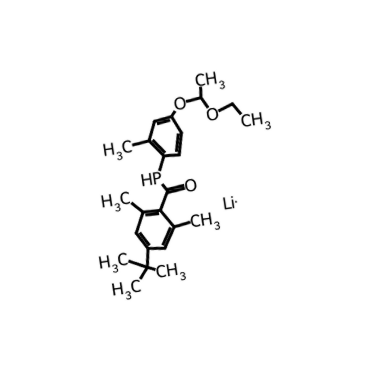 CCOC(C)Oc1ccc(PC(=O)c2c(C)cc(C(C)(C)C)cc2C)c(C)c1.[Li]